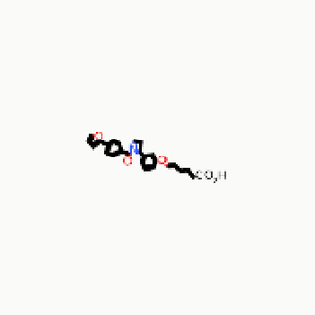 O=C(O)CCCCCOc1cccc(C2CCN2C(=O)c2ccc(-c3ccco3)cc2)c1